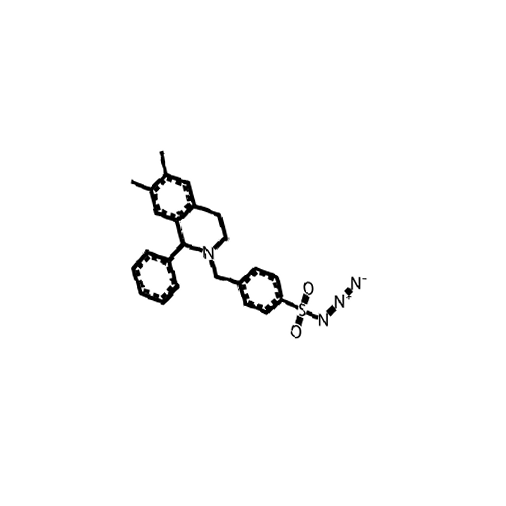 Cc1cc2c(cc1C)C(c1ccccc1)N(Cc1ccc(S(=O)(=O)N=[N+]=[N-])cc1)CC2